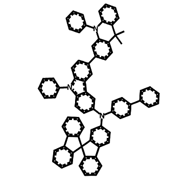 CC1(C)c2ccccc2N(c2ccccc2)c2cc(-c3ccc4c(c3)c3cc(N(c5ccc(-c6ccccc6)cc5)c5ccc6c(c5)C5(c7ccccc7-c7ccccc75)c5ccccc5-6)ccc3n4-c3ccccc3)ccc21